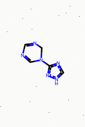 C1=NC=NCN1c1nc[nH]n1